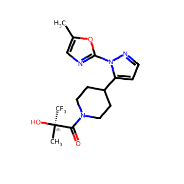 Cc1cnc(-n2nccc2C2CCN(C(=O)[C@@](C)(O)C(F)(F)F)CC2)o1